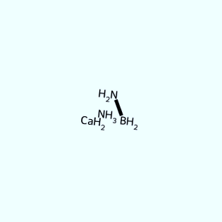 BN.N.[CaH2]